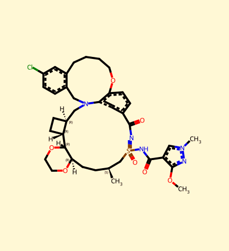 COc1nn(C)cc1C(=O)NS1(=O)=NC(=O)c2ccc3c(c2)N(Cc2ccc(Cl)cc2CCCCO3)C[C@@H]2CC[C@H]2[C@H]2OCCO[C@@H]2CC[C@H](C)C1